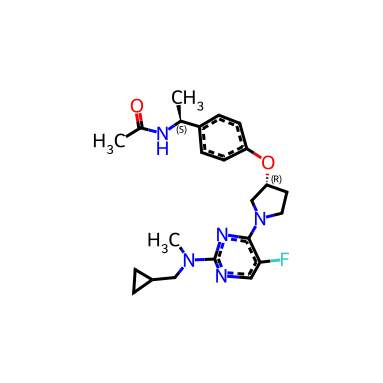 CC(=O)N[C@@H](C)c1ccc(O[C@@H]2CCN(c3nc(N(C)CC4CC4)ncc3F)C2)cc1